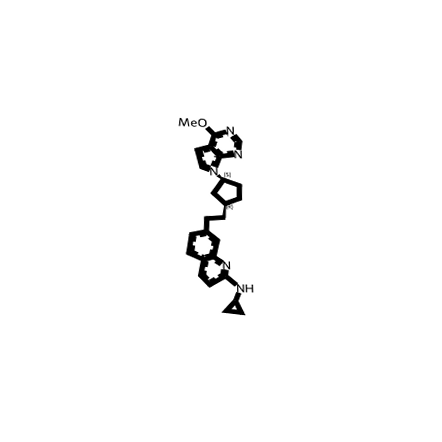 COc1ncnc2c1ccn2[C@H]1CC[C@@H](CCc2ccc3ccc(NC4CC4)nc3c2)C1